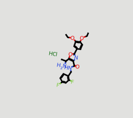 CCOc1ccc(-c2nc(C(=O)NCc3ccc(F)cc3F)c(C(C)N)o2)cc1OCC.Cl